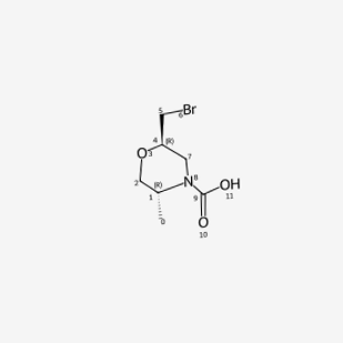 C[C@@H]1CO[C@@H](CBr)CN1C(=O)O